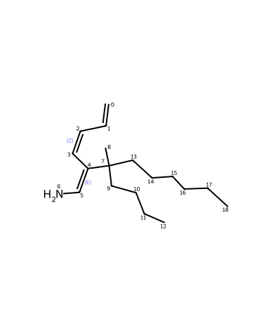 C=C/C=C\C(=C/N)C(C)(CCCC)CCCCCC